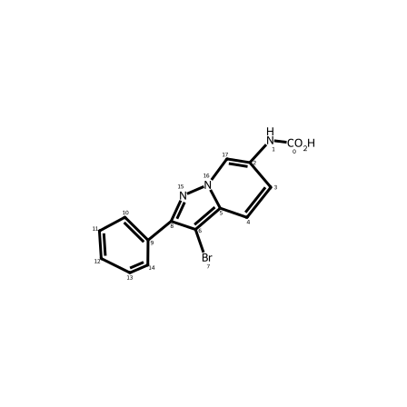 O=C(O)Nc1ccc2c(Br)c(-c3ccccc3)nn2c1